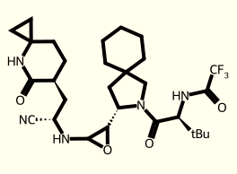 CC(C)(C)[C@H](NC(=O)C(F)(F)F)C(=O)N1CC2(CCCCC2)C[C@H]1C1OC1N[C@H](C#N)C[C@@H]1CCC2(CC2)NC1=O